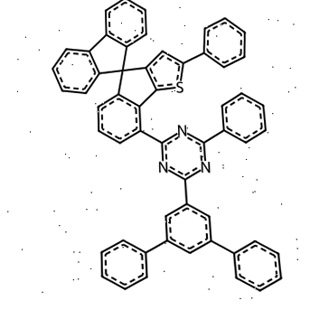 c1ccc(-c2cc(-c3ccccc3)cc(-c3nc(-c4ccccc4)nc(-c4cccc5c4-c4sc(-c6ccccc6)cc4C54c5ccccc5-c5ccccc54)n3)c2)cc1